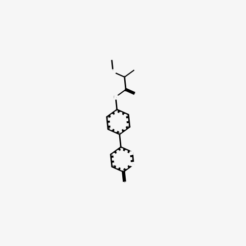 COC(C)C(=O)Nc1ccc(-c2ccc(=O)[nH]n2)cc1